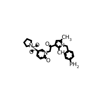 Cc1cc(C(=O)Cn2cc(S(=O)(=O)N3CCCC3)ccc2=O)c(C)n1Cc1ccc(P)cc1